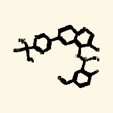 C[C@@H](Nc1c(Cl)cnc2ccc(-c3cnc(C(C)(C)O)nc3)cc12)c1cc(C=O)ccc1F